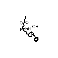 CCCC(OC)C(CC[C](F)([InH2])CCCC1CCN(Cc2ccccc2)CC1)OC.Cl